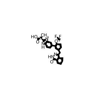 CN(C(=O)O)c1nc2cc(-c3cc(Cc4n[nH]c(=O)c5ccccc45)ccc3OC(F)(F)F)ccc2[nH]1